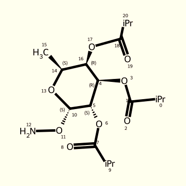 CC(C)C(=O)O[C@H]1[C@H](OC(=O)C(C)C)[C@H](ON)O[C@@H](C)[C@H]1OC(=O)C(C)C